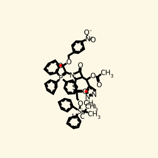 CC(=O)OC(c1cnn(C)c1)C1C(=O)N(C(C(=O)OCc2ccc([N+](=O)[O-])cc2)=P(c2ccccc2)(c2ccccc2)c2ccccc2)C1SC(=O)CO[Si](c1ccccc1)(c1ccccc1)C(C)(C)C